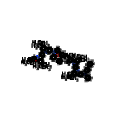 CC(C)(C)c1ccc2c(c1)c1cc(C(C)(C)C)cc3c4cc5c(cc4n2c13)c1cc(C(C)(C)C)cc2c3ccc(N(c4ccccc4)c4cccc6c4oc4c(-c7ccccc7)cc(CC(C)(C)c7ccc8c(c7)c7cc(C(C)(C)C)cc9c%10cc%11c(cc%10n8c79)c7cc(C(C)(C)C)cc8c9ccc(N(c%10ccccc%10)c%10ccc(-c%12ccccc%12)cc%10)cc9n%11c87)cc46)cc3n5c21